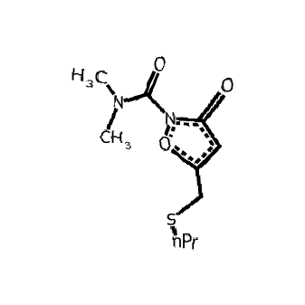 CCCSCc1cc(=O)n(C(=O)N(C)C)o1